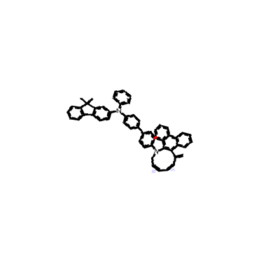 C=C1/C=C\C=C/CN(c2ccc(-c3ccc(N(c4ccccc4)c4ccc5c(c4)C(C)(C)c4ccccc4-5)cc3)cc2)c2c1c1ccccc1c1ccccc21